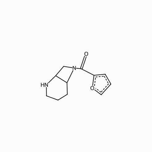 O=C(c1ccco1)N1CC2NCCCC21